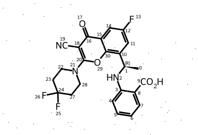 C[C@@H](Nc1ccccc1C(=O)O)c1cc(F)cc2c(=O)c(C#N)c(N3CCC(F)(F)CC3)oc12